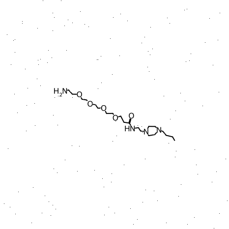 CCCCN1CCN(CCNC(=O)CCOCCOCCOCCOCCN)CC1